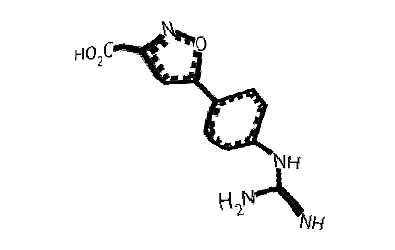 N=C(N)Nc1ccc(-c2cc(C(=O)O)no2)cc1